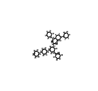 c1ccc(-c2ccc3c(-c4ccccc4)nc(-c4cc(-c5ccc(-c6ccncc6)cc5)cc(-c5ccccn5)c4)nc3c2)cc1